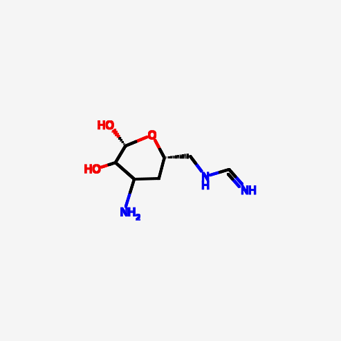 N=CNC[C@@H]1CC(N)C(O)[C@H](O)O1